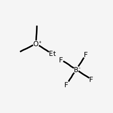 CC[O+](C)C.F[B-](F)(F)F